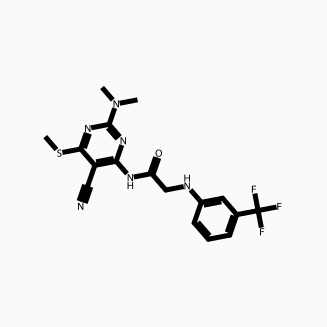 CSc1nc(N(C)C)nc(NC(=O)CNc2cccc(C(F)(F)F)c2)c1C#N